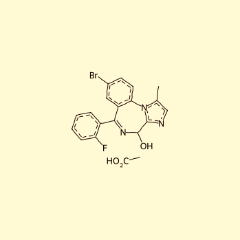 CC(=O)O.Cc1cnc2n1-c1ccc(Br)cc1C(c1ccccc1F)=NC2O